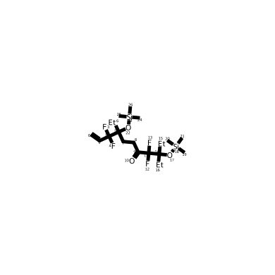 C=CC(F)(F)C(CC)(CCC(=O)C(F)(F)C(CC)(CC)O[Si](C)(C)C)O[Si](C)(C)C